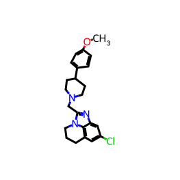 COc1ccc(C2CCN(Cc3nc4cc(Cl)cc5c4n3CCC5)CC2)cc1